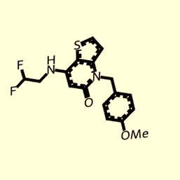 COc1ccc(Cn2c(=O)cc(NCC(F)F)c3sccc32)cc1